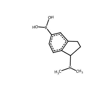 CN(C)C1CCc2cc(B(O)O)ccc21